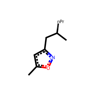 CCCC(C)Cc1cc(C)on1